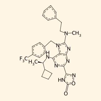 C[C@@H](Nc1nc(-c2noc(=O)[nH]2)nc2nc(N(C)CCc3ccccc3)n(Cc3ccc(C(F)(F)F)cc3)c12)C1CCC1